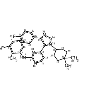 Cc1c(F)cccc1Nc1nccc(-c2c(-c3ccc(F)cc3)ncn2C2CCC(C)(O)CC2)n1